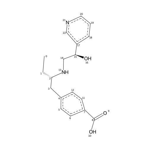 CC[C@@H](Cc1ccc(C(=O)O)cc1)NC[C@H](O)c1cccnc1